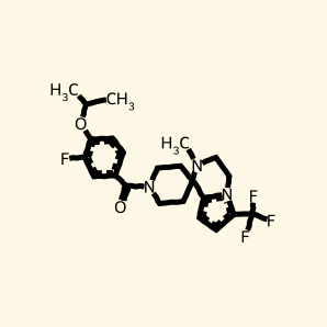 CC(C)Oc1ccc(C(=O)N2CCC3(CC2)c2ccc(C(F)(F)F)n2CCN3C)cc1F